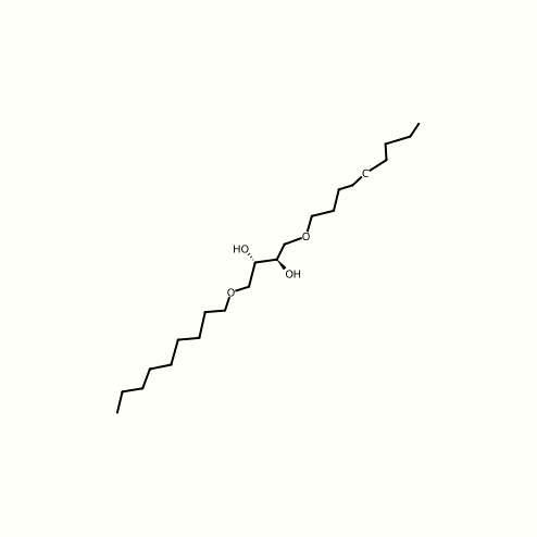 CCCCCCCCCOC[C@@H](O)[C@@H](O)COCCCCCCCCC